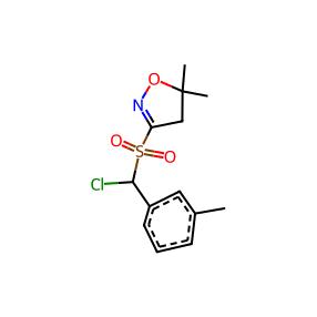 Cc1cccc(C(Cl)S(=O)(=O)C2=NOC(C)(C)C2)c1